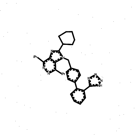 CC(C)c1nnc(C(C)C)c2c1nc(C1CCCCC1)n2Cc1ccc(-c2ccccc2-c2nnn[nH]2)cc1